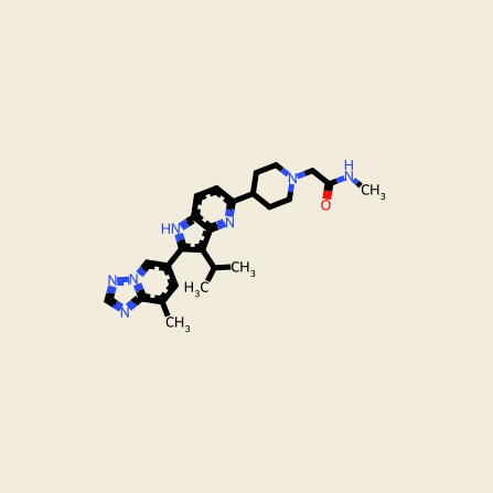 CNC(=O)CN1CCC(c2ccc3[nH]c(-c4cc(C)c5ncnn5c4)c(C(C)C)c3n2)CC1